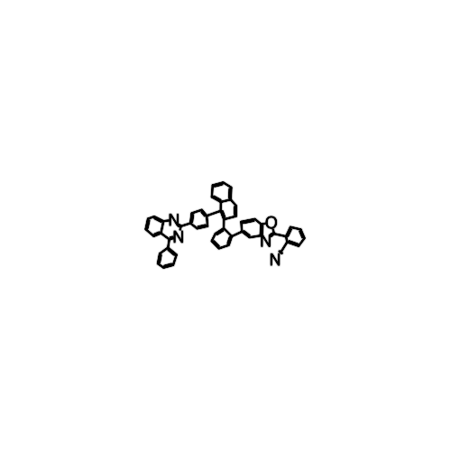 N#Cc1ccccc1-c1nc2cc(-c3ccccc3-c3ccc4ccccc4c3-c3ccc(-c4nc(-c5ccccc5)c5ccccc5n4)cc3)ccc2o1